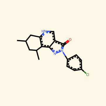 CC1Cc2[nH]cc3c(=O)n(-c4ccc(Cl)cc4)nc-3c2C(C)C1